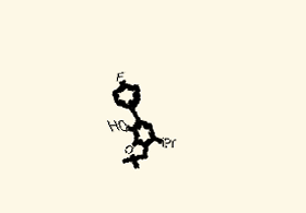 CC(C)c1cc(-c2ccc(F)cc2)c(O)c2c1CC(C)(C)O2